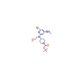 COCCN(c1cc(N)cc(Br)n1)C1CCN(C(=O)OC(C)(C)C)CC1